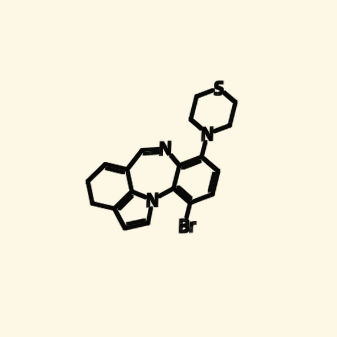 Brc1ccc(N2CCSCC2)c2c1-n1ccc3c1C(=CCC3)C=N2